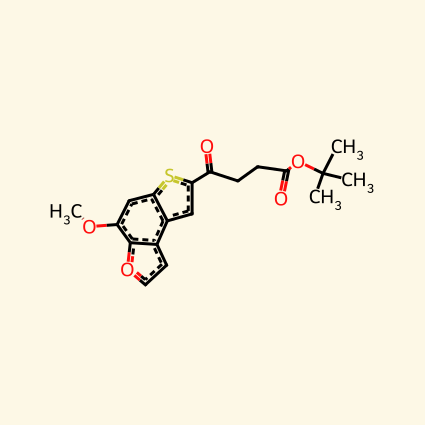 COc1cc2sc(C(=O)CCC(=O)OC(C)(C)C)cc2c2ccoc12